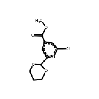 COC(=O)c1cc(Cl)nc(C2OCCCO2)c1